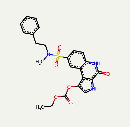 CCOC(=O)Oc1c[nH]c2c(=O)[nH]c3ccc(S(=O)(=O)N(C)CCc4ccccc4)cc3c12